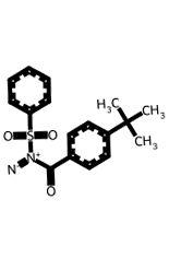 CC(C)(C)c1ccc(C(=O)[N+](=[N-])S(=O)(=O)c2ccccc2)cc1